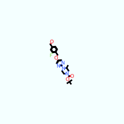 CC1CN(C(=O)OC(C)(C)C)CCN1c1ncc(OCc2ccc(C=O)cc2F)cn1